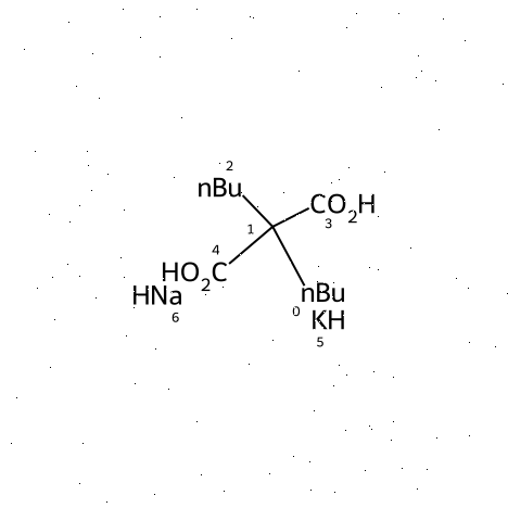 CCCCC(CCCC)(C(=O)O)C(=O)O.[KH].[NaH]